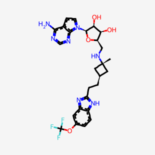 C[C@]1(NC[C@H]2O[C@@H](n3ccc4c(N)ncnc43)[C@@H](O)[C@H]2O)C[C@H](CCc2nc3cc(OC(F)(F)F)ccc3[nH]2)C1